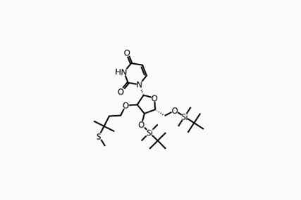 CSC(C)(C)CCOC1C(O[Si](C)(C)C(C)(C)C)[C@@H](CO[Si](C)(C)C(C)(C)C)O[C@H]1n1ccc(=O)[nH]c1=O